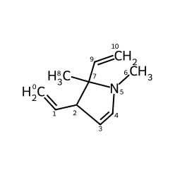 C=CC1C=CN(C)C1(C)C=C